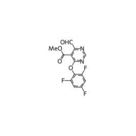 COC(=O)c1c(C=O)ncnc1Oc1c(F)cc(F)cc1F